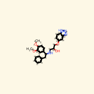 COc1ccc(C(Cc2ccccc2)NCC(O)COc2ccc3[nH]nnc3c2)cc1OC